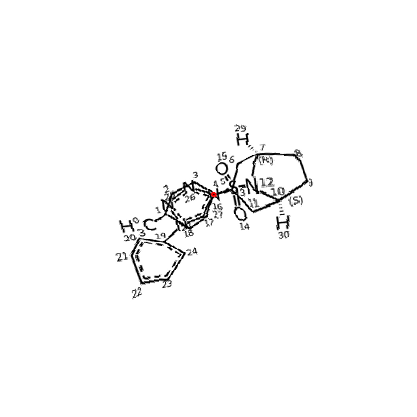 CC1CCN(C2C[C@H]3CC[C@@H](C2)N3S(=O)(=O)c2cn(-c3ccccc3)nn2)CC1